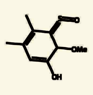 COC1C(O)=CC(C)=C(C)C1=S=O